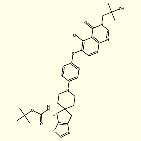 CC(C)(O)Cn1cnc2ccc(Sc3cnc(N4CCC5(CC4)Cc4ncsc4[C@@H]5NC(=O)OC(C)(C)C)cn3)c(Cl)c2c1=O